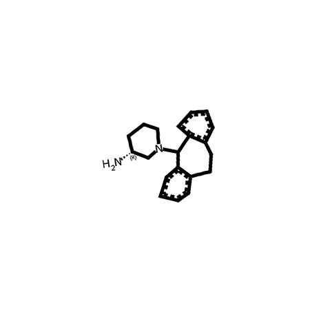 N[C@@H]1CCCN(C2c3ccccc3CCc3ccccc32)C1